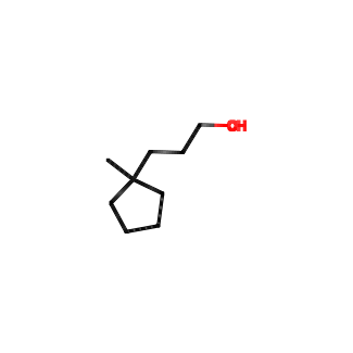 CC1(CCCO)CCCC1